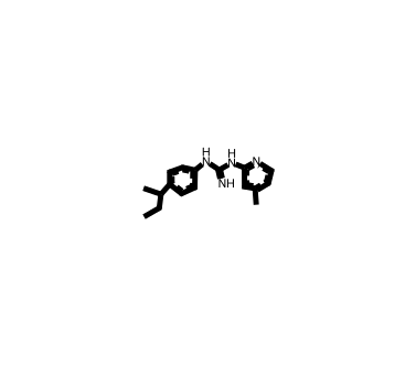 CCC(C)c1ccc(NC(=N)Nc2cc(C)ccn2)cc1